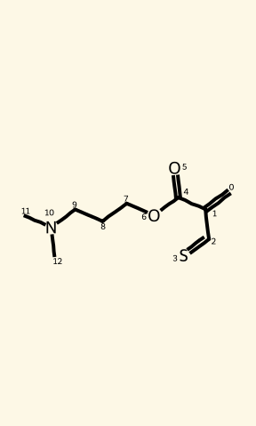 C=C(C=S)C(=O)OCCCN(C)C